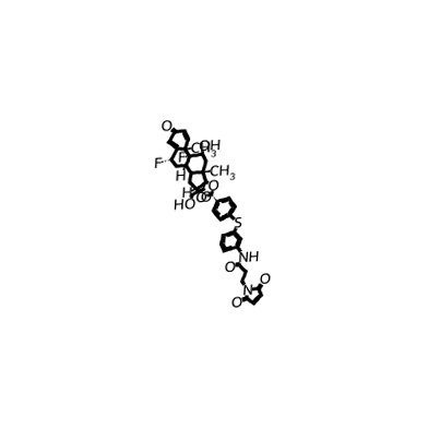 C[C@]12C=CC(=O)C=C1[C@@H](F)C[C@H]1C3C[C@H]4O[C@@H](c5ccc(Sc6cccc(NC(=O)CCN7C(=O)C=CC7=O)c6)cc5)O[C@@]4(C(=O)CO)[C@@]3(C)C[C@H](O)[C@@]12F